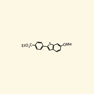 CCOC(=O)c1ccc(-c2cc3ccc(OC)cc3s2)cc1